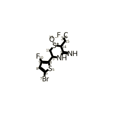 N=C1NC(c2sc(Br)cc2F)C[S+]([O-])C1CC(F)(F)F